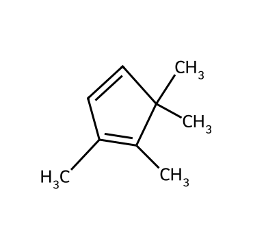 CC1=C(C)C(C)(C)C=C1